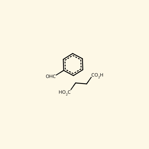 O=C(O)CCC(=O)O.O=Cc1ccccc1